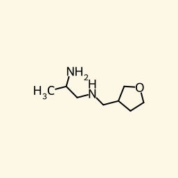 CC(N)CNCC1CCOC1